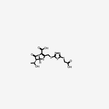 CC(O)[C@H]1C(=O)N2C(C(=O)O)=C(CSc3nnc(SCC(=O)O)s3)S[C@H]12